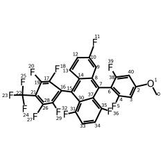 COc1cc(F)c(-c2c3cc(F)ccc3c(-c3c(F)c(F)c(C(F)(F)F)c(F)c3F)c3c(F)ccc(F)c23)c(F)c1